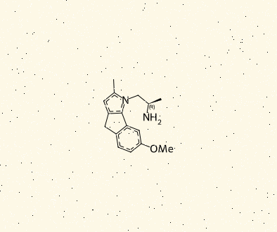 COc1ccc2c(c1)-c1c(cc(C)n1C[C@@H](C)N)C2